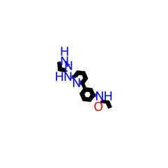 C=CC(=O)Nc1cccc(-c2cccc(Nc3cc[nH]n3)n2)c1